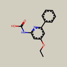 CCOc1cc(NC(=O)O)nc(-c2ccccc2)c1